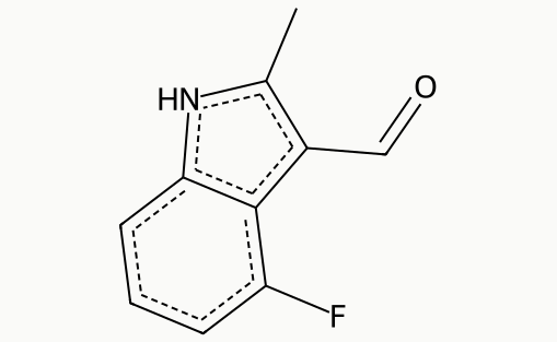 Cc1[nH]c2cccc(F)c2c1C=O